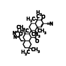 Cc1nnc(C[C@]23CCC(C)(C)CC2C2C(=O)C=C4[C@@]5(C)C=C(C#N)C(=O)C(C)(C)C5CC[C@@]4(C)[C@]2(C)CC3)o1